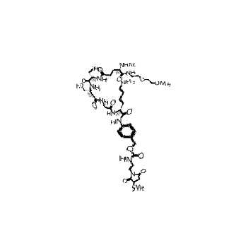 COCCOCCNC(=O)[C@H](CCC(=O)N[C@@H](CC(C)C)C(=O)N[C@@H](CO)C(=O)NCC(=O)N[C@@H](CCCCN)C(=O)Nc1ccc(COC(=O)NCCN2C(=O)CC(SC)C2=O)cc1)NC(C)=O